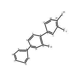 Fc1cc(-c2ccc(-c3ccccc3)cc2F)ccc1I